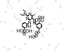 CCN(CC)c1nc(C)c(/N=N/c2cc(SOOO)ccc2S(=O)(=O)O)c(Nc2cccc(P(=O)(O)O)c2)n1